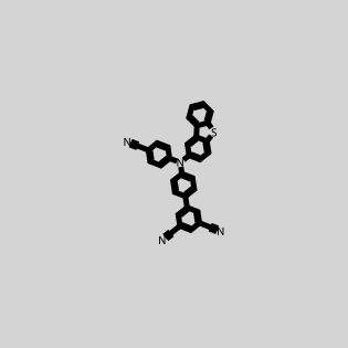 N#Cc1ccc(N(c2ccc(-c3cc(C#N)cc(C#N)c3)cc2)c2ccc3sc4ccccc4c3c2)cc1